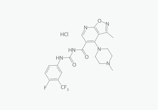 Cc1noc2ncc(C(=O)NC(=O)Nc3ccc(F)c(C(F)(F)F)c3)c(N3CCN(C)CC3)c12.Cl